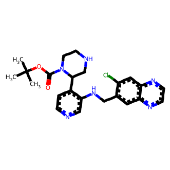 CC(C)(C)OC(=O)N1CCNCC1c1ccncc1NCc1cc2nccnc2cc1Cl